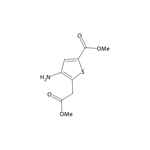 COC(=O)Cc1sc(C(=O)OC)cc1N